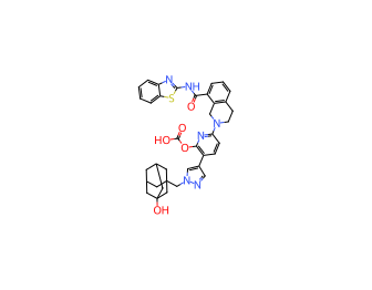 O=C(O)Oc1nc(N2CCc3cccc(C(=O)Nc4nc5ccccc5s4)c3C2)ccc1-c1cnn(CC23CC4CC(CC(O)(C4)C2)C3)c1